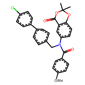 COc1ccc(C(=O)N(Cc2ccc(-c3ccc(Cl)cc3)cc2)c2ccc3c(c2)C(=O)OC(C)(C)O3)cc1